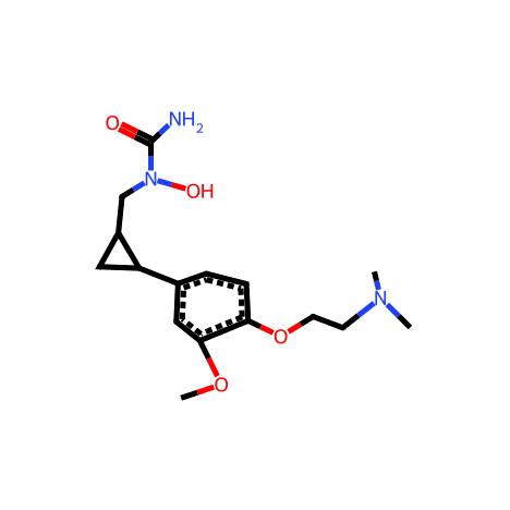 COc1cc(C2CC2CN(O)C(N)=O)ccc1OCCN(C)C